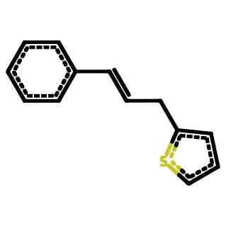 C(=Cc1ccccc1)Cc1cccs1